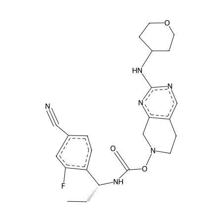 CC[C@@H](NC(=O)ON1CCc2cnc(NC3CCOCC3)nc2C1)c1ccc(C#N)cc1F